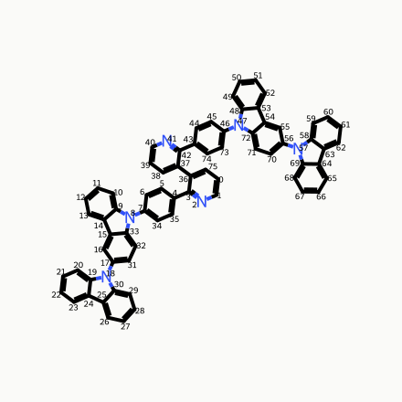 c1cnc(-c2ccc(-n3c4ccccc4c4cc(-n5c6ccccc6c6ccccc65)ccc43)cc2)c(-c2cccnc2-c2ccc(-n3c4ccccc4c4cc(-n5c6ccccc6c6ccccc65)ccc43)cc2)c1